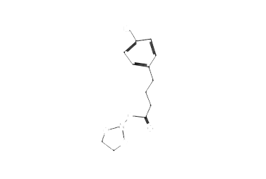 O=C(CCCc1ccc(Cl)cc1)ON1OCCO1